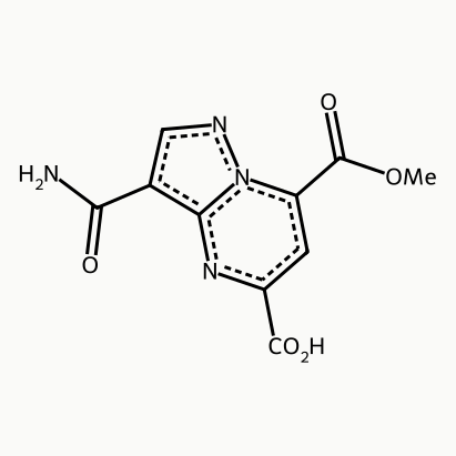 COC(=O)c1cc(C(=O)O)nc2c(C(N)=O)cnn12